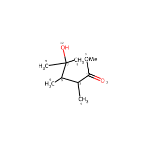 COC(=O)C(C)C(C)C(C)(C)O